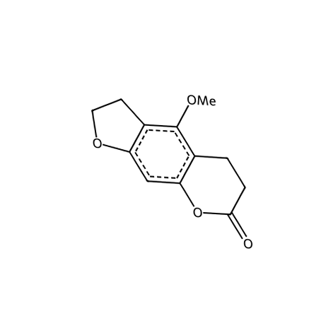 COc1c2c(cc3c1CCC(=O)O3)OCC2